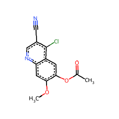 COc1cc2ncc(C#N)c(Cl)c2cc1OC(C)=O